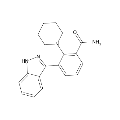 NC(=O)c1cccc(-c2n[nH]c3ccccc23)c1N1CCCCC1